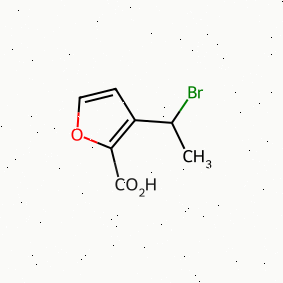 CC(Br)c1ccoc1C(=O)O